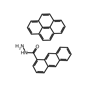 NNC(=O)c1cccc2cc3ccccc3cc12.c1cc2ccc3cccc4ccc(c1)c2c34